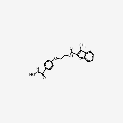 Cc1c(C(=O)NCCOc2ccc(C(=O)NO)cc2)oc2ccccc12